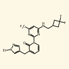 CCn1cc(Cc2cccn(-c3nc(NCC4CC(F)(F)C4)cc(C(F)(F)F)n3)c2=O)cn1